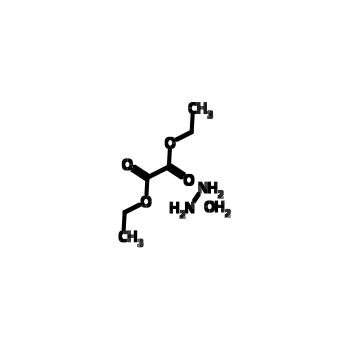 CCOC(=O)C(=O)OCC.NN.O